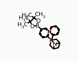 CC1(C)OB(c2ccc(N3CC4CC(C3)N4Cc3ccccn3)nc2)OC1(C)C